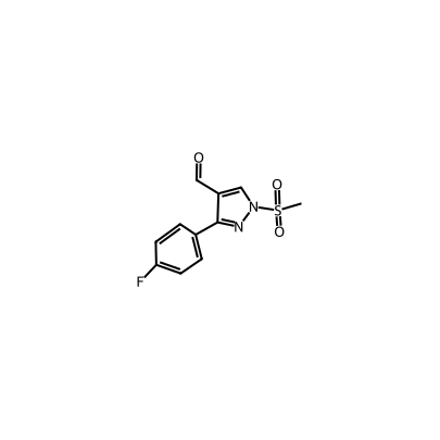 CS(=O)(=O)n1cc(C=O)c(-c2ccc(F)cc2)n1